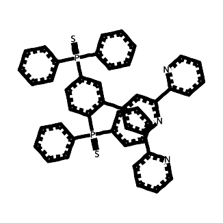 S=P(c1ccccc1)(c1ccccc1)c1ccc(P(=S)(c2ccccc2)c2ccccc2)c(-c2cc(-c3ccccn3)nc(-c3ccccn3)c2)c1